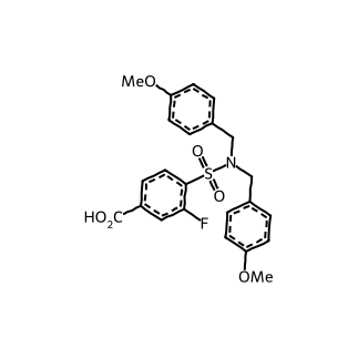 COc1ccc(CN(Cc2ccc(OC)cc2)S(=O)(=O)c2ccc(C(=O)O)cc2F)cc1